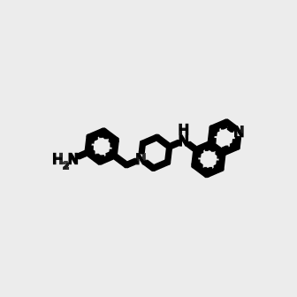 Nc1cccc(CN2CCC(Nc3cccc4cnccc34)CC2)c1